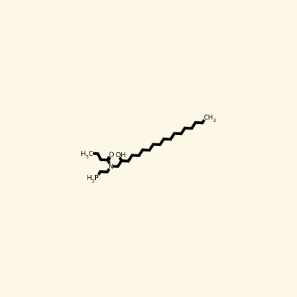 CCCCCCCCCCCCCCCCC(O)CN(CCP)C(=O)CCC